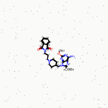 CCCCOc1nc(N)c2nc(OC)n(CC3CCN(CCCN4C(=O)c5ccccc5C4=O)CC3)c2n1